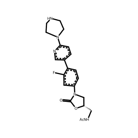 CC(=O)NC[C@H]1CN(c2ccc(-c3ccc(N4CCNCC4)nc3)c(F)c2)C(=O)O1